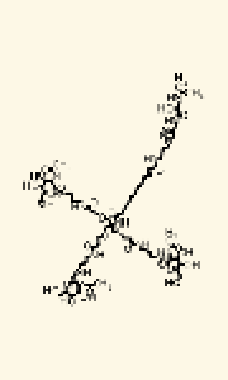 CC(=O)NC1C(O)C(O)C(CO)O[C@H]1ONCCCNC(=O)CCOCC(COCCC(=O)NCCCNO[C@@H]1OC(CO)[C@H](O)C(O)C1NC(C)=O)(COCCC(=O)NCCCNO[C@@H]1OC(CO)[C@H](O)C(O)C1NC(C)=O)NC(=O)CCCCCCCCCCC(=O)NCCCn1cc(CNC(=O)[C@H](O)CNC(C)C)nn1